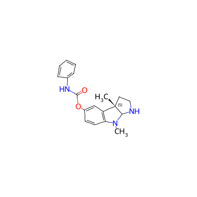 CN1c2ccc(OC(=O)Nc3ccccc3)cc2[C@]2(C)CCNC12